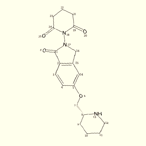 O=C1c2ccc(OC[C@H]3CCCCN3)cc2CN1N1C(=O)CCCC1=O